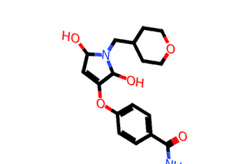 NC(=O)c1ccc(OC2=CC(O)N(CC3CCOCC3)C2O)cc1